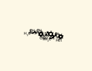 CCc1cccc(CC)c1NC(=O)c1cn(C)c2c1CCc1cnc(Nc3ccc(N(C)CCCN(C)C)cc3OC)nc1-2